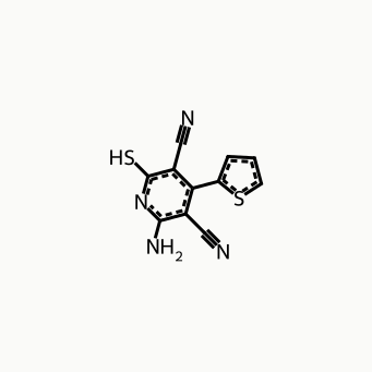 N#Cc1c(N)nc(S)c(C#N)c1-c1cccs1